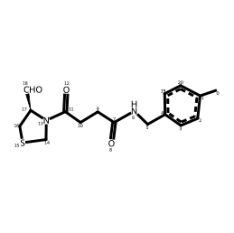 Cc1ccc(CNC(=O)CCC(=O)N2CSC[C@H]2C=O)cc1